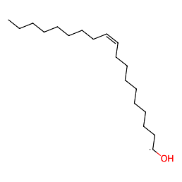 CCCCCCCC/C=C\CCCCCCCC[CH]O